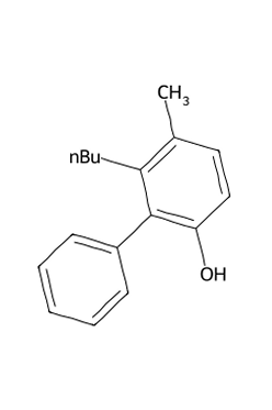 CCCCc1c(C)ccc(O)c1-c1ccccc1